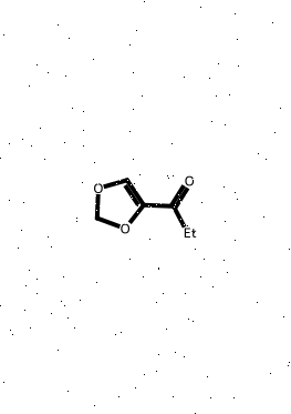 CCC(=O)C1=COCO1